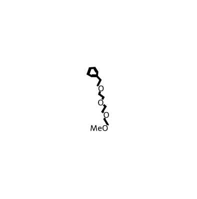 COCCOCCOCCOCCc1ccccc1